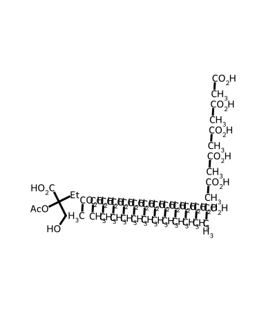 CC(=O)O.CC(=O)O.CC(=O)O.CC(=O)O.CC(=O)O.CC(=O)O.CC(=O)O.CC(=O)O.CC(=O)O.CC(=O)O.CC(=O)O.CC(=O)O.CC(=O)O.CC(=O)O.CC(=O)O.CC(=O)O.CC(=O)O.CC(=O)O.CCC(CO)(OC(C)=O)C(=O)O